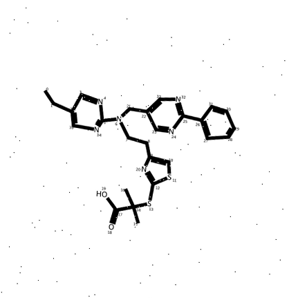 CCc1cnc(N(CCc2csc(SC(C)(C)C(=O)O)n2)Cc2cnc(-c3ccccc3)nc2)nc1